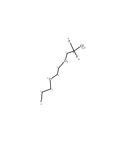 FCCOCCOCC(F)(F)C(F)(F)F